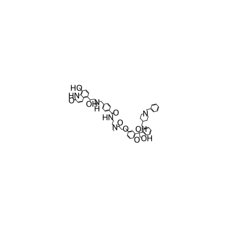 CN(CCNC(=O)c1ccc(CNC[C@H](O)c2ccc(O)c3[nH]c(=O)ccc23)cc1)C(=O)COc1cccc([C@@](O)(C(=O)O)c2ccccc2CC2CCN(Cc3ccccc3)CC2)c1